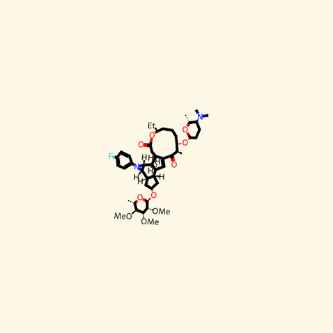 CC[C@H]1CCC[C@H](O[C@H]2CC[C@H](N(C)C)[C@@H](C)O2)[C@@H](C)C(=O)C2=C[C@H]3[C@@H]4C[C@H](O[C@@H]5O[C@@H](C)[C@H](OC)[C@@H](OC)[C@H]5OC)C[C@H]4[C@H]4[C@@H]([C@H]3[C@@H]2CC(=O)O1)N4c1ccc(F)cc1